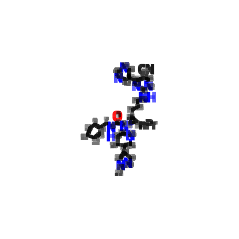 CCCC1/C(=[N+](/C(=O)NCc2ccccc2)c2ccc(-c3cnn(C)c3)cn2)C1CCCNc1ncc(C#N)c(-c2cncnc2)n1